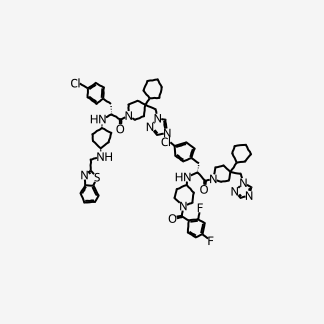 O=C([C@@H](Cc1ccc(Cl)cc1)N[C@H]1CC[C@@H](NCc2nc3ccccc3s2)CC1)N1CCC(Cn2cncn2)(C2CCCCC2)CC1.O=C(c1ccc(F)cc1F)N1CCC(N[C@H](Cc2ccc(Cl)cc2)C(=O)N2CCC(Cn3cncn3)(C3CCCCC3)CC2)CC1